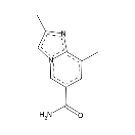 Cc1cn2cc(C(N)=O)cc(C)c2n1